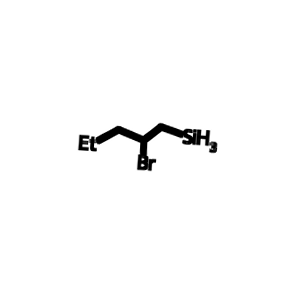 CCCC(Br)C[SiH3]